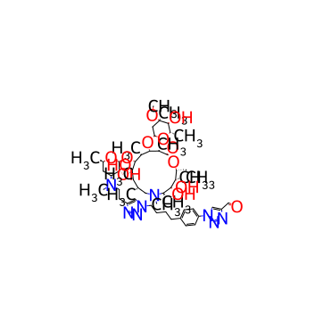 CC[C@H]1OC(=O)[C@H](C)[C@@H](O[C@H]2C[C@@](C)(OC)[C@@H](O)[C@H](C)O2)[C@H](C)[C@@H](O[C@@H]2O[C@H](C)C[C@H](N(C)CCc3cn(CCCCc4ccc(-n5cc(C=O)nn5)cc4)nn3)[C@H]2O)[C@](C)(O)C[C@@H](C)CN(C)[C@H](C)[C@@H](O)[C@]1(C)O